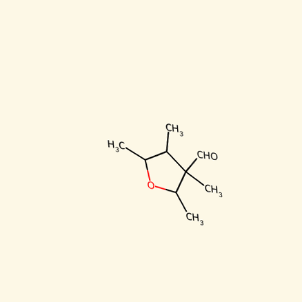 CC1OC(C)C(C)(C=O)C1C